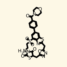 NCCS(=O)(=O)c1cc(-c2ccc(C(=O)N3CCOCC3)cc2)cc2sc(Cc3nnc(CC4SC(=O)NC4=O)o3)nc12